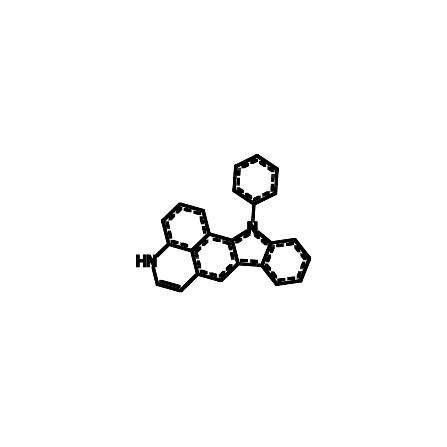 C1=Cc2cc3c4ccccc4n(-c4ccccc4)c3c3cccc(c23)N1